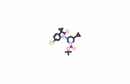 CC(C)(C)OC(=O)N1CC(NC(=O)C2(c3ccc(Cl)cc3)CC2)CC(C2CC2)C1